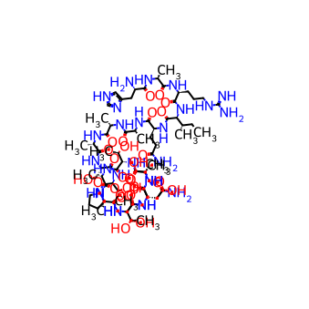 CC[C@H](C)[C@H](NC(=O)[C@H](CCCNC(=N)N)NC(=O)[C@H](C)NC(=O)[C@@H](N)Cc1c[nH]cn1)C(=O)N[C@@H](CCC(N)=O)C(=O)N[C@@H](C)C(=O)N[C@@H](C)C(=O)N[C@@H](C)C(=O)N[C@@H](CO)C(=O)N[C@H](C(=O)N1CCC[C@H]1C(=O)N[C@H](C(=O)N[C@@H](CC(N)=O)C(=O)N[C@@H](C)C(=O)N[C@H](C(=O)N[C@@H](C)C(=O)N[C@@H](C)C(=O)N[C@@H](CO)C(=O)N[C@@H](CC(=O)O)C(=O)N[C@@H](C)C(=O)O)[C@@H](C)O)[C@@H](C)O)[C@@H](C)O